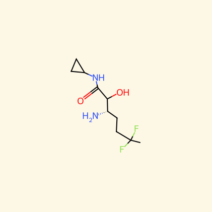 CC(F)(F)CC[C@H](N)C(O)C(=O)NC1CC1